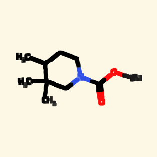 CC1CCN(C(=O)OC(C)(C)C)CC1(C)C